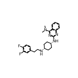 CN(C)c1nc(N[C@H]2CC[C@@H](NCCc3ccc(F)c(F)c3)CC2)nc2ccccc12